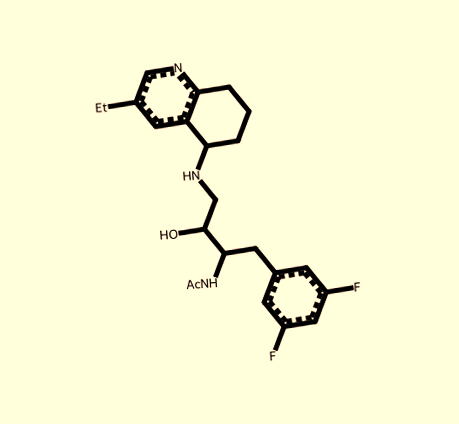 CCc1cnc2c(c1)C(NCC(O)C(Cc1cc(F)cc(F)c1)NC(C)=O)CCC2